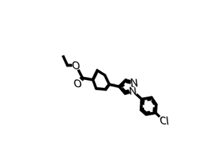 CCOC(=O)C1CCC(c2cnn(-c3ccc(Cl)cc3)c2)CC1